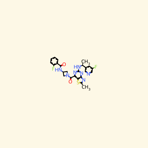 Cc1nc2nc(N[C@@H](C)c3cncc(F)c3)nc(C(=O)N3CC(NC(=O)c4ccccc4F)C3)c2s1